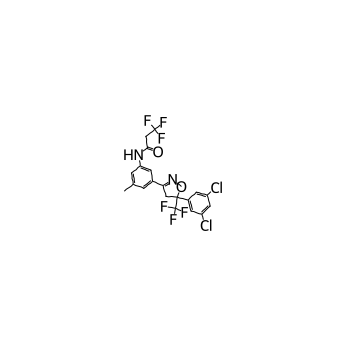 Cc1cc(NC(=O)CC(F)(F)F)cc(C2=NOC(c3cc(Cl)cc(Cl)c3)(C(F)(F)F)C2)c1